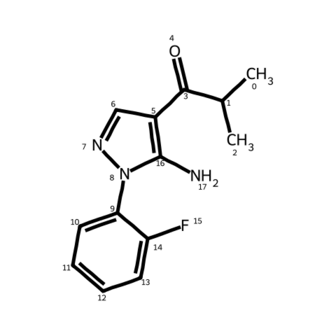 CC(C)C(=O)c1cnn(-c2ccccc2F)c1N